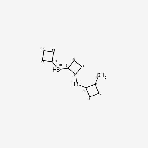 BC1CCC1BC1CCC1BC1CCC1